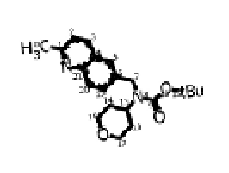 Cc1ccc2cc(CN(C(=O)OC(C)(C)C)C3CCOCC3)ccc2n1